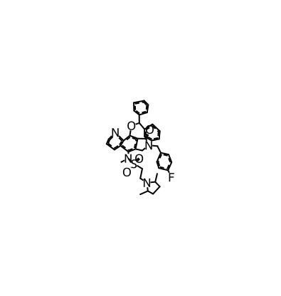 CC1CCC(C)N1CCS(=O)(=O)N(C)c1c2c(c(OC(c3ccccc3)c3ccccc3)c3ncccc13)C(=O)N(Cc1ccc(F)cc1)C2